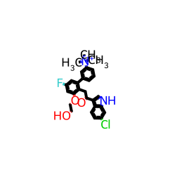 C[N+](C)(C)c1cccc(-c2cc(F)cc(OCCO)c2CC(=O)c2c[nH]c3cc(Cl)ccc23)c1